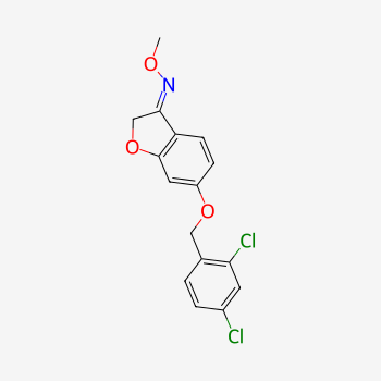 CO/N=C1\COc2cc(OCc3ccc(Cl)cc3Cl)ccc21